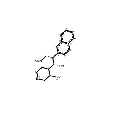 CCCC1CNCCC1[C@@H](O)[C@H](CNC)c1ccc2ccccc2c1